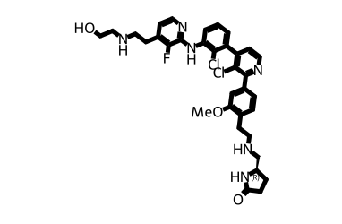 COc1cc(-c2nccc(-c3cccc(Nc4nccc(CCNCCO)c4F)c3Cl)c2Cl)ccc1CCNC[C@H]1CCC(=O)N1